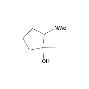 CNC1CCCC1(C)O